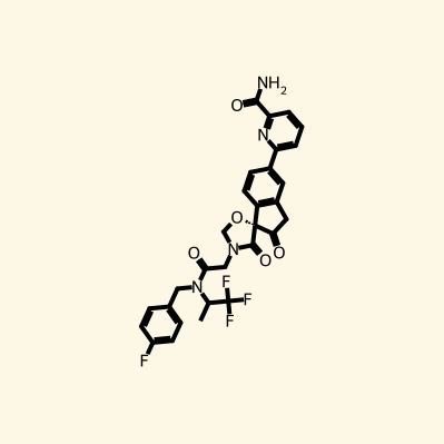 CC(N(Cc1ccc(F)cc1)C(=O)CN1CO[C@]2(C(=O)Cc3cc(-c4cccc(C(N)=O)n4)ccc32)C1=O)C(F)(F)F